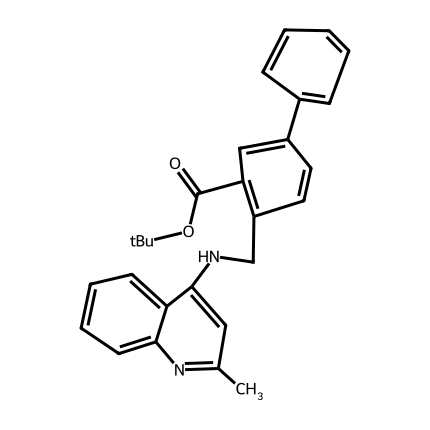 Cc1cc(NCc2ccc(-c3ccccc3)cc2C(=O)OC(C)(C)C)c2ccccc2n1